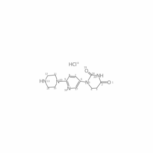 Cl.O=C1CCN(c2ccc(N3CCNCC3)nc2)C(=O)N1